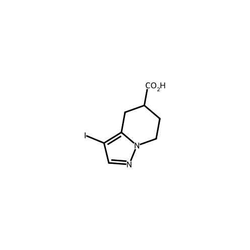 O=C(O)C1CCn2ncc(I)c2C1